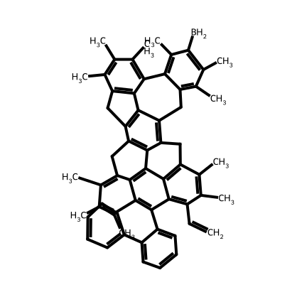 Bc1c(C)c(C)c2c(c1C)-c1c(C)c(C)c(C)c3c1-c1c(c4c5c(c1C2)Cc1c(C)c(C)c(C=C)c2c(-c6ccccc6-c6ccccc6)c6c(C)c(C)c(C)c(c6c-5c12)C4)C3